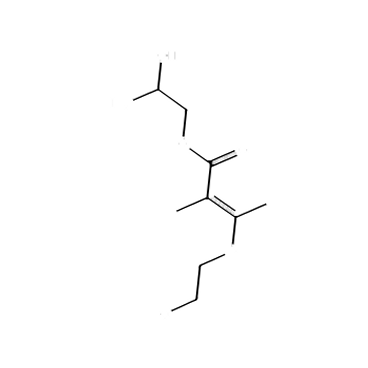 CC(OCCO)=C(C)C(=O)OCC(O)O